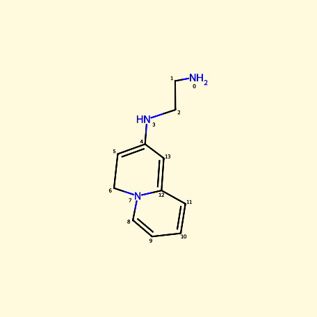 NCCNC1=CCN2C=CC=CC2=C1